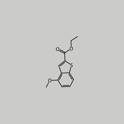 CCOC(=O)c1cc2c(OC)cccc2s1